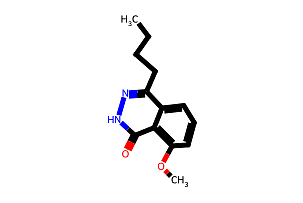 CCCCc1n[nH]c(=O)c2c(OC)cccc12